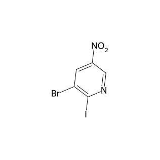 O=[N+]([O-])c1cnc(I)c(Br)c1